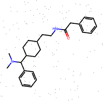 CN(C)C(c1ccccc1)C1CCC(CCNC(=O)Cc2ccccc2)CC1